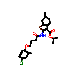 Cc1cc(Cl)ccc1OCCCC(=O)Nc1sc2c(c1C(=O)OC(C)C)CCC(C)C2